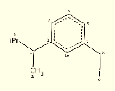 CC(C)C(C)c1cccc(CI)c1